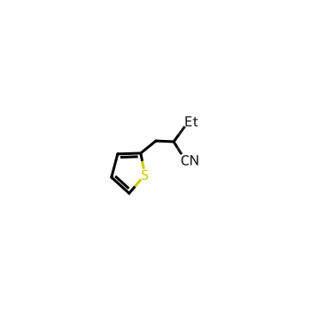 CCC(C#N)Cc1cccs1